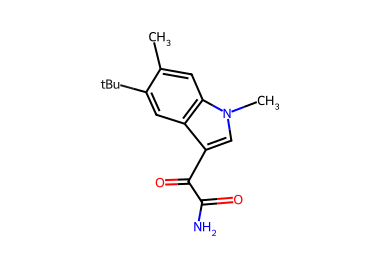 Cc1cc2c(cc1C(C)(C)C)c(C(=O)C(N)=O)cn2C